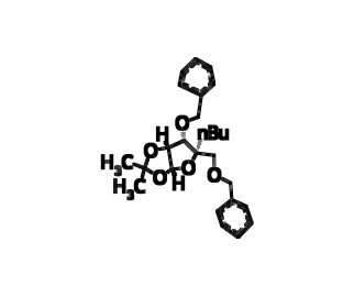 CCCC[C@]1(COCc2ccccc2)O[C@@H]2OC(C)(C)O[C@@H]2[C@@H]1OCc1ccccc1